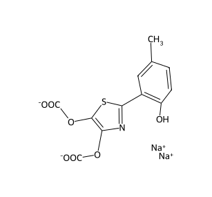 Cc1ccc(O)c(-c2nc(OC(=O)[O-])c(OC(=O)[O-])s2)c1.[Na+].[Na+]